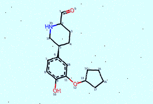 O=CC1CC[C@@H](c2ccc(O)c(OC3CCCC3)c2)CN1